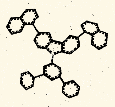 c1ccc(-c2cc(-c3ccccc3)cc(-n3c4ccc(-c5cccc6ccccc56)cc4c4cc(-c5cccc6ccccc56)ccc43)c2)cc1